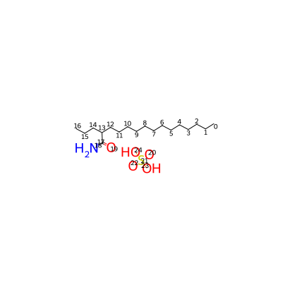 CCCCCCCCCCCCCC(CCC)C(N)=O.O=S(=O)(O)O